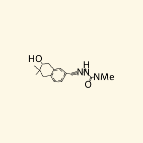 CNC(=O)N[N+]#Cc1ccc2c(c1)CC(O)C(C)(C)C2